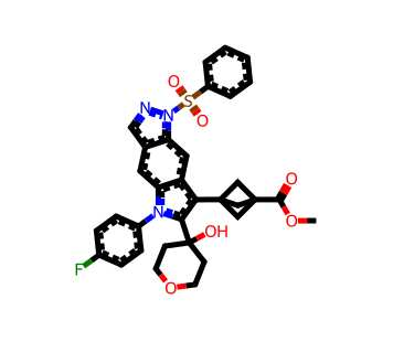 COC(=O)C12CC(c3c(C4(O)CCOCC4)n(-c4ccc(F)cc4)c4cc5cnn(S(=O)(=O)c6ccccc6)c5cc34)(C1)C2